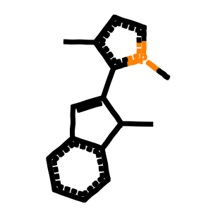 C[C]1C(c2c(C)ccp2C)=Cc2ccccc21